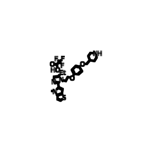 CCc1cnc(-c2cc3sccc3n2C)n1CCOc1ccc(OCC2CCNCC2)cc1.O=C(O)C(F)(F)F